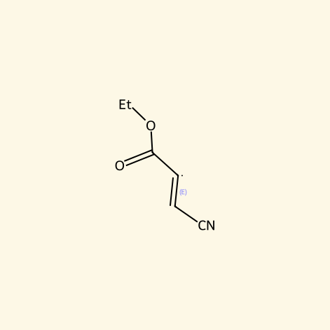 CCOC(=O)/[C]=C/C#N